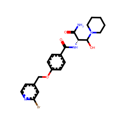 NC(=O)[C@@H](NC(=O)c1ccc(OCc2ccnc(Br)c2)cc1)C(O)N1CCCCC1